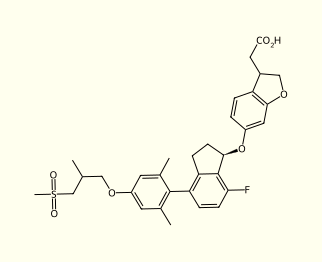 Cc1cc(OCC(C)CS(C)(=O)=O)cc(C)c1-c1ccc(F)c2c1CC[C@H]2Oc1ccc2c(c1)OCC2CC(=O)O